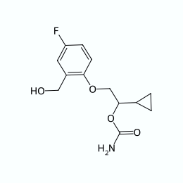 NC(=O)OC(COc1ccc(F)cc1CO)C1CC1